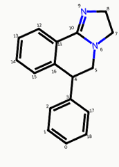 c1ccc(C2CN3CCN=C3c3ccccc32)cc1